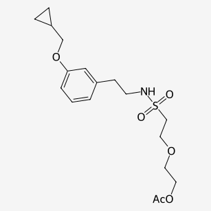 CC(=O)OCCOCCS(=O)(=O)NCCc1cccc(OCC2CC2)c1